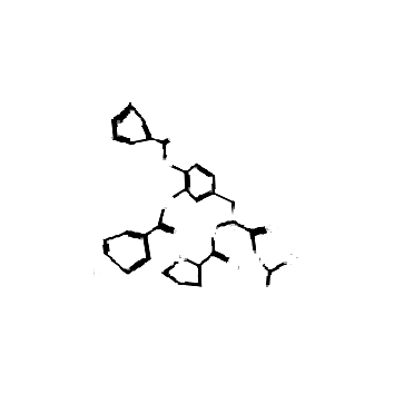 CCC(CC)OC(=O)[C@H](Cc1ccc(OC(=O)c2ccccc2)c(OC(=O)c2ccccc2)c1)NC(=O)C1CCCN1.F